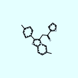 Cc1ccc(-c2nc3ccc(C)cn3c2CC(=O)c2ccco2)cc1